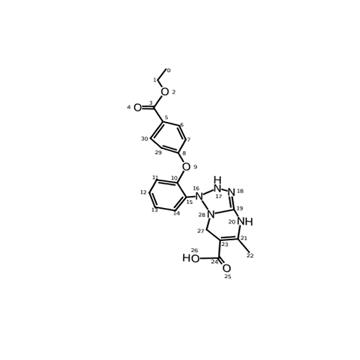 CCOC(=O)c1ccc(Oc2ccccc2N2NN=C3NC(C)=C(C(=O)O)CN32)cc1